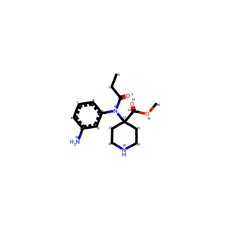 CCC(=O)N(c1cccc(N)c1)C1(C(=O)OC)CCNCC1